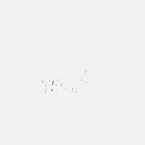 O=C1CCN(N2C(=O)c3ccc(CN4CC(C5CCOc6cc(F)ccc65)C4)cc3C2=O)C(=O)N1